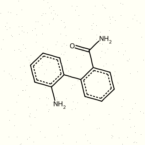 NC(=O)c1ccccc1-c1ccccc1N